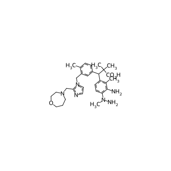 Cc1ccc(C(c2ccc(N(C)N)c(N)c2C)C(C)(C)C(=O)O)cc1Cn1ccnc1CN1CCCOCC1